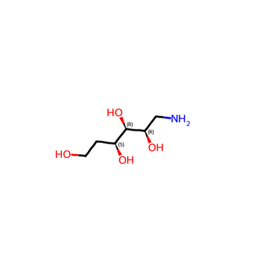 NC[C@@H](O)[C@H](O)[C@@H](O)CCO